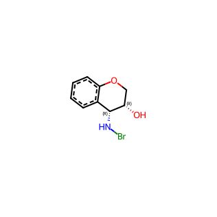 O[C@H]1COc2ccccc2[C@H]1NBr